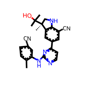 Cc1ccc(C#N)cc1Nc1nccc(-c2cc(C#N)c3c(c2)[C@@](C)(C(C)(C)O)CN3)n1